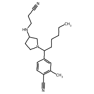 CCCCCC(c1ccc(C#N)c(C)c1)N1CCC(NCCC#N)C1